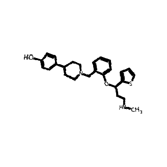 CNCCC(Oc1ccccc1CN1CCC(c2ccc(O)cc2)CC1)c1cccs1